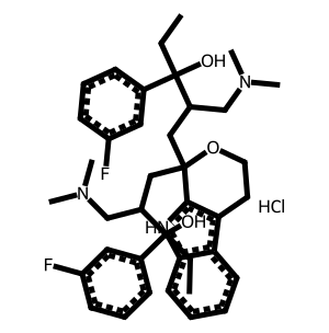 CCC(O)(c1cccc(F)c1)C(CN(C)C)CC1(CC(CN(C)C)C(O)(CC)c2cccc(F)c2)OCCc2c1[nH]c1ccccc21.Cl